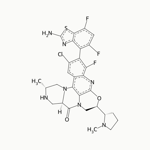 C[C@@H]1CN2c3c4c(nc5c(F)c(-c6c(F)cc(F)c7sc(N)nc67)c(Cl)cc35)O[C@@H]([C@@H]3CCCN3C)CN4C(=O)[C@H]2CN1